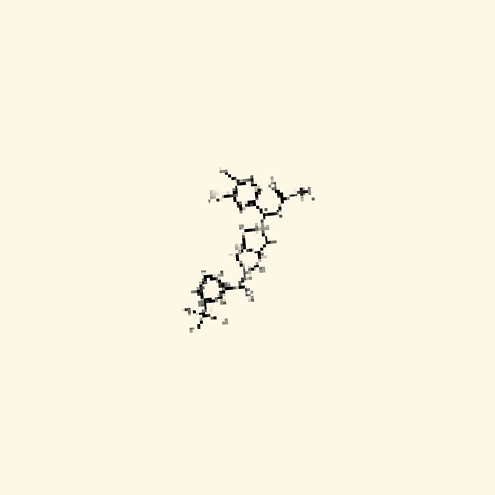 Cc1ccc(C(CC(N)=O)N2CC3CN(C(=O)c4cccc(C(F)(F)F)c4)CC3C2)cc1Cl